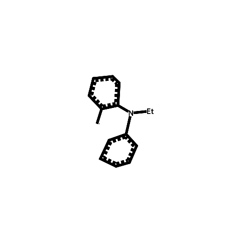 [CH2]c1ccccc1N(CC)c1ccccc1